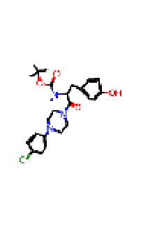 CN(C(=O)OC(C)(C)C)C(Cc1ccc(O)cc1)C(=O)N1CCN(c2ccc(Cl)cc2)CC1